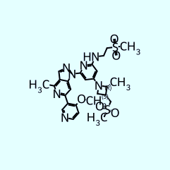 COc1ccncc1-c1cc2c(cnn2-c2cc(N3C[C@H](CS(C)(=O)=O)[C@H]3C)cc(NCCS(C)(=O)=O)n2)c(C)n1